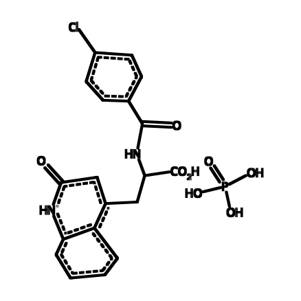 O=C(NC(Cc1cc(=O)[nH]c2ccccc12)C(=O)O)c1ccc(Cl)cc1.O=P(O)(O)O